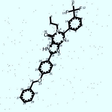 CCCn1c(-c2cccc(C(F)(F)F)c2)nc2nc(-c3ccc(OCc4ccccc4)cc3)[nH]c2c1=O